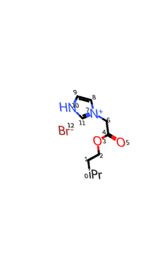 CC(C)CCOC(=O)C[n+]1cc[nH]c1.[Br-]